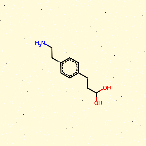 NCCc1ccc(CCC(O)O)cc1